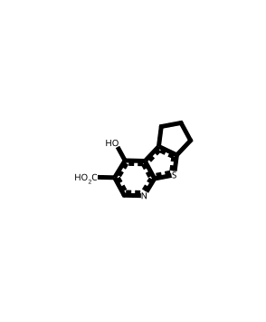 O=C(O)c1cnc2sc3c(c2c1O)CCC3